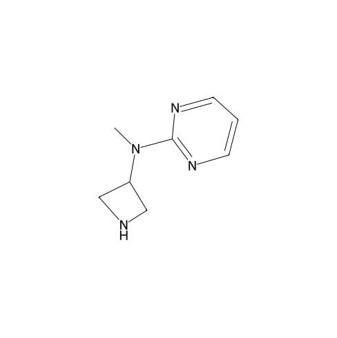 CN(c1ncccn1)C1CNC1